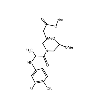 COC(CN(CCCC(=O)OC(C)(C)C)C(=O)C(C)Nc1ccc(C(F)(F)F)c(Cl)c1)OC